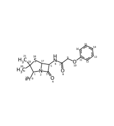 CC(C)C1N2C(=O)C(NC(=O)COc3ccccc3)C2SC1(C)C